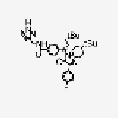 CC(C)(C)CC[C@H](c1ccc(C(=O)NCc2nn[nH]n2)cc1)N1C(=O)C(c2ccc(F)cc2)=NC12CCC(C(C)(C)C)CC2